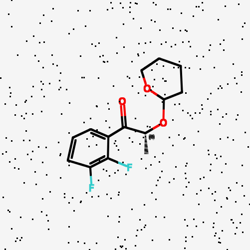 C[C@@H](OC1CCCCO1)C(=O)c1cccc(F)c1F